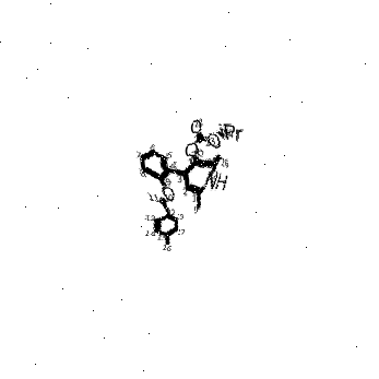 CC1=CC(c2ccccc2OCc2ccc(C)cc2)C(OC(=O)OC(C)C)=C(C)N1